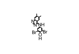 Cc1cc2ncnc(Nc3cc(Br)c(O)c(Br)c3)c2cc1C